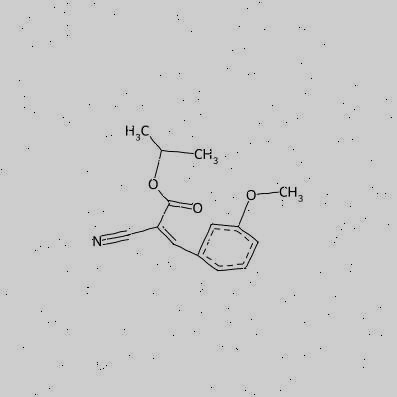 COc1cccc(C=C(C#N)C(=O)OC(C)C)c1